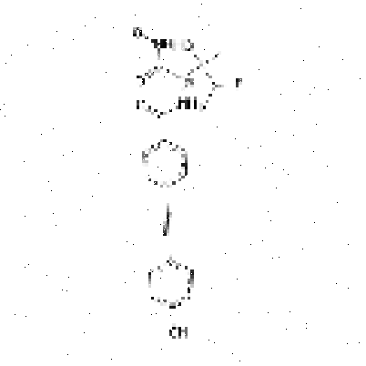 CC(O)(C(F)F)[C@H](NC(=O)c1ccc(C#Cc2ccc(C#N)cc2)cc1)C(=O)NO